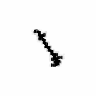 CC(=O)CCC(=O)NCCOCCOCCNC(=O)[C@H](O)C(C)(C)CO